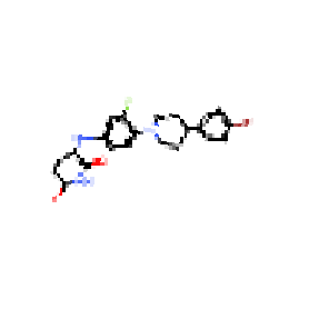 O=C1CC[C@@H](Nc2ccc(N3CCC(c4ccc(Br)cc4)CC3)c(F)c2)C(=O)N1